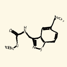 CC(C)(C)OC(=O)Nc1nsc2ccc([N+](=O)[O-])cc12